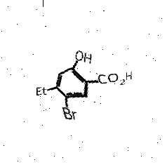 CCc1cc(O)c(C(=O)O)cc1Br